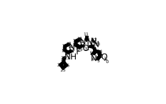 COc1cncc(-c2cn(C(C)n3ccc(N4CCC[C@@H](NCC5CCC5)C4)c(F)c3=O)nn2)c1